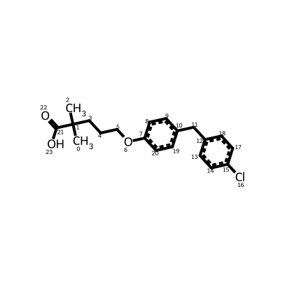 CC(C)(CCCOc1ccc(Cc2ccc(Cl)cc2)cc1)C(=O)O